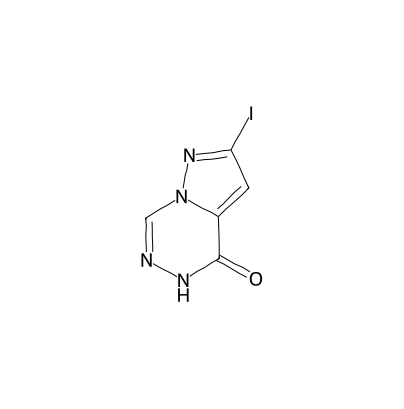 O=c1[nH]ncn2nc(I)cc12